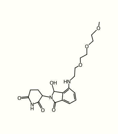 COCCOCCOCCNc1cccc2c1C(O)N(C1CCC(=O)NC1=O)C2=O